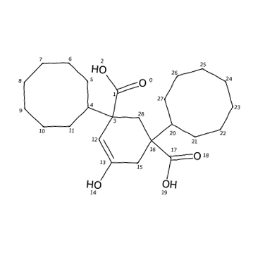 O=C(O)C1(C2CCCCCCC2)C=C(O)CC(C(=O)O)(C2CCCCCCC2)C1